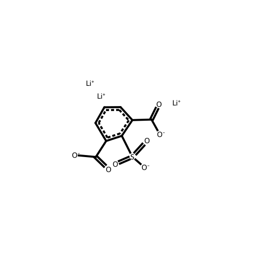 O=C([O-])c1cccc(C(=O)[O-])c1S(=O)(=O)[O-].[Li+].[Li+].[Li+]